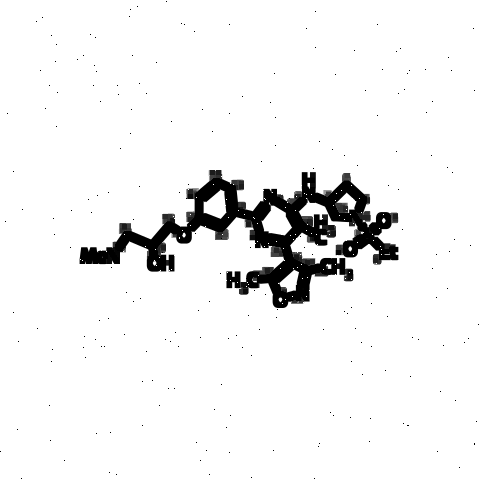 CCS(=O)(=O)N1CCC(Nc2nc(-c3cccc(OCC(O)CNC)c3)nc(-c3c(C)noc3C)c2C)C1